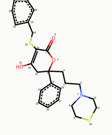 O=C1OC(CCCN2CCSCC2)(c2ccccc2)CC(O)=C1SCc1ccccc1